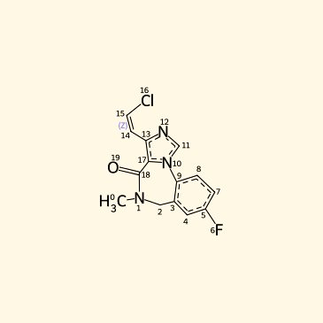 CN1Cc2cc(F)ccc2-n2cnc(/C=C\Cl)c2C1=O